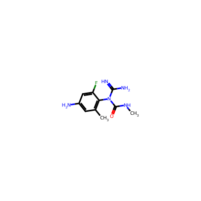 CNC(=O)N(C(=N)N)c1c(C)cc(N)cc1F